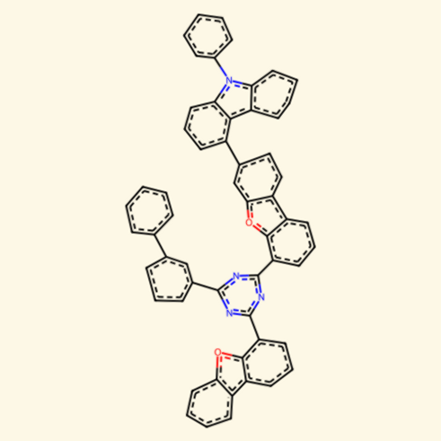 c1ccc(-c2cccc(-c3nc(-c4cccc5c4oc4ccccc45)nc(-c4cccc5c4oc4cc(-c6cccc7c6c6ccccc6n7-c6ccccc6)ccc45)n3)c2)cc1